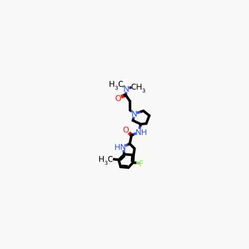 Cc1ccc(F)c2c1NC(C(=O)NC1CCCN(CCC(=O)N(C)C)C1)C2